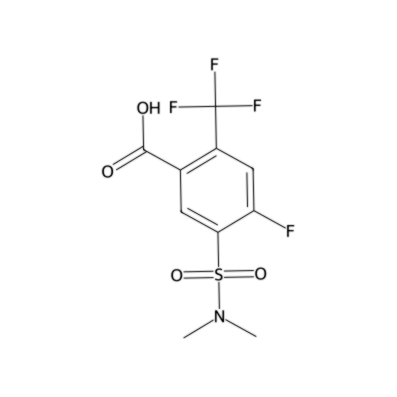 CN(C)S(=O)(=O)c1cc(C(=O)O)c(C(F)(F)F)cc1F